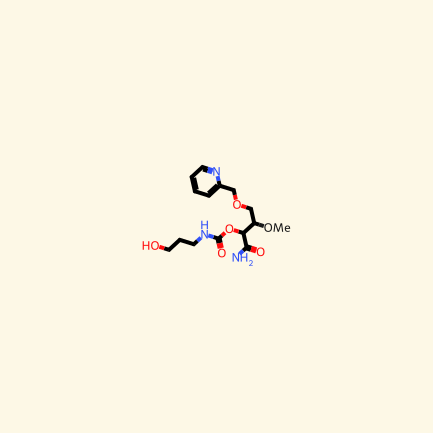 COC(COCc1ccccn1)C(OC(=O)NCCCO)C(N)=O